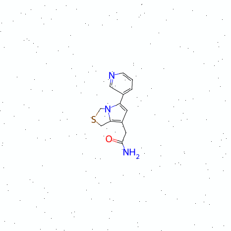 NC(=O)Cc1cc(-c2cccnc2)n2c1CSC2